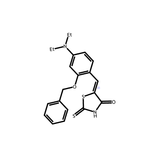 CCN(CC)c1ccc(/C=C2\SC(=S)NC2=O)c(OCc2ccccc2)c1